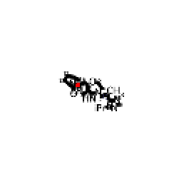 C/C(=C\N1CCOc2cc(N3C4CCC3C(=O)NC4)ncc2C1=N)c1ncnn1C(C)C